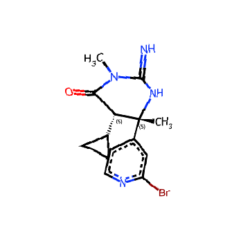 CN1C(=N)N[C@](C)(c2ccnc(Br)c2)[C@H](C2CC2)C1=O